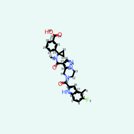 Cc1c(F)ccc2[nH]c(C(=O)N3CCn4ncc(C(=O)N(C)C5(c6cccc(C(=O)O)c6)CC5)c4C3)cc12